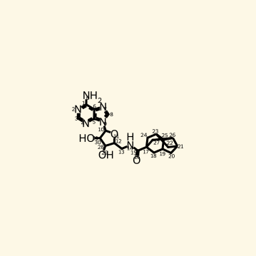 Nc1ncnc2c1ncn2C1OC(CNC(=O)C23CC4CC5CC(C2)C4C5C3)C(O)C1O